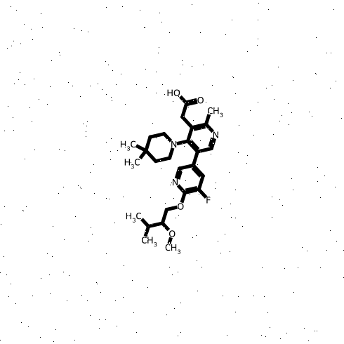 COC(COc1ncc(-c2cnc(C)c(CC(=O)O)c2N2CCC(C)(C)CC2)cc1F)C(C)C